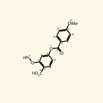 CCCOc1cc(OC(=O)c2ccc(OC)cc2)ccc1C(=O)O